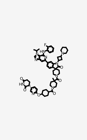 CC(C)n1cnc2cc(-c3ccc4c(c3)N(C3CC(N5CCCCC5)C3)C(=O)C43CCN(C(=O)C4(C)CCN(C(=O)C5CCC(Oc6ccc([C@H]7CCC(=O)NC7=O)cn6)CC5)CC4)CC3)nc(Nc3ccccc3F)c21